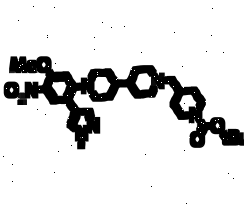 COc1cc(N2CCC(C3CCN(CC4CCN(C(=O)OC(C)(C)C)CC4)CC3)CC2)c(-c2cnn(C)c2)cc1[N+](=O)[O-]